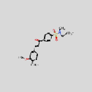 CCCCOc1cc(/C=C/C(=O)c2ccc(S(=O)(=O)N(C)CC(=O)O)cc2)ccc1OC